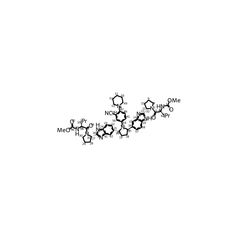 COC(=O)N[C@H](C(=O)N1CCC[C@H]1c1nc2cc([C@H]3CC[C@H](c4ccc5[nH]c([C@@H]6CCCN6C(=O)[C@@H](NC(=O)OC)C(C)C)nc5c4)N3c3ccc(N4CCCCC4)c(C#N)c3)ccc2[nH]1)C(C)C